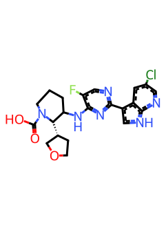 O=C(O)N1CCCC(Nc2nc(-c3c[nH]c4ncc(Cl)cc34)ncc2F)C1[C@@H]1CCOC1